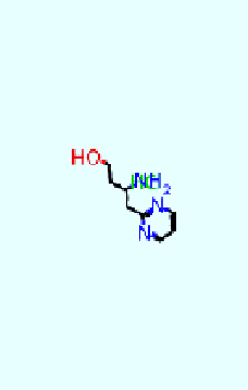 Cl.NC(CCO)Cc1ncccn1